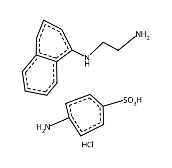 Cl.NCCNc1cccc2ccccc12.Nc1ccc(S(=O)(=O)O)cc1